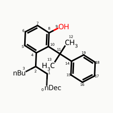 CCCCCCCCCCCC(CCCC)c1cccc(O)c1C(C)(C)c1ccccc1